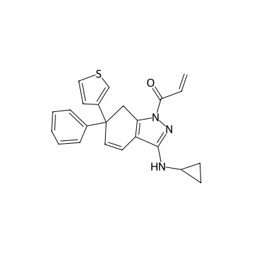 C=CC(=O)n1nc(NC2CC2)c2c1CC(c1ccccc1)(c1ccsc1)C=C2